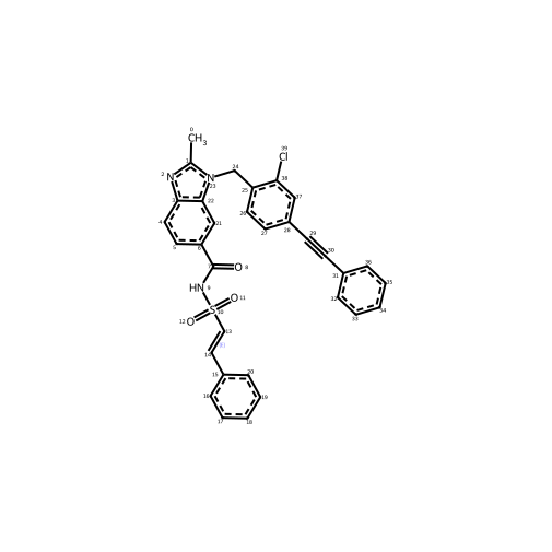 Cc1nc2ccc(C(=O)NS(=O)(=O)/C=C/c3ccccc3)cc2n1Cc1ccc(C#Cc2ccccc2)cc1Cl